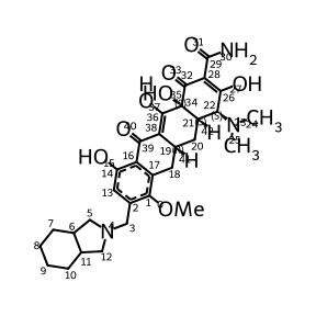 COc1c(CN2CC3CCCCC3C2)cc(O)c2c1C[C@H]1C[C@H]3[C@H](N(C)C)C(O)=C(C(N)=O)C(=O)[C@@]3(O)C(O)=C1C2=O